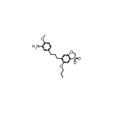 CCCOc1cc2c(cc1CCCc1ccc(OC)c(N)c1)OCS2(=O)=O